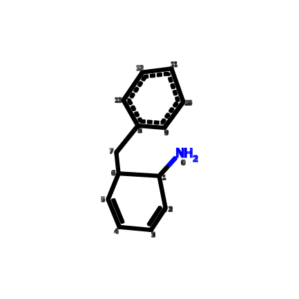 NC1[C]=CC=CC1Cc1ccccc1